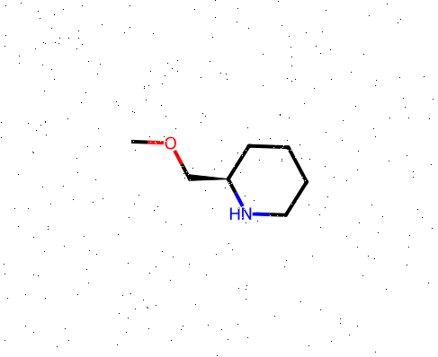 COC[C@H]1CCCCN1